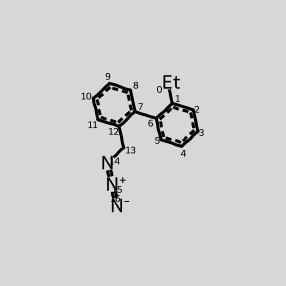 CCc1ccccc1-c1ccccc1CN=[N+]=[N-]